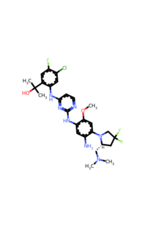 COc1cc(N2CC(F)(F)C[C@@H]2CN(C)C)c(N)cc1Nc1nccc(Nc2cc(Cl)c(F)cc2C(C)(C)O)n1